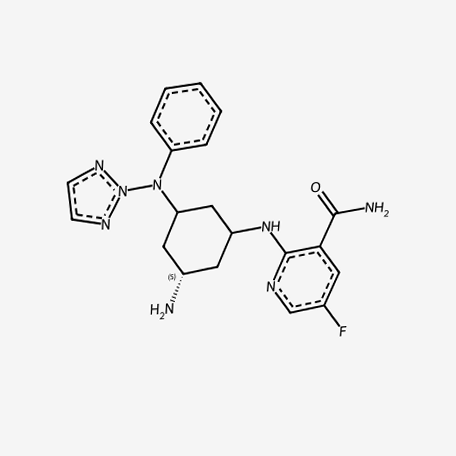 NC(=O)c1cc(F)cnc1NC1CC(N(c2ccccc2)n2nccn2)C[C@@H](N)C1